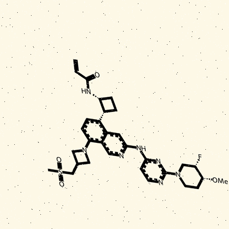 C=CC(=O)N[C@@H]1CC[C@@H]1c1ccc(N2CC(CS(C)(=O)=O)C2)c2cnc(Nc3ccnc(N4CC[C@@H](OC)[C@@H](F)C4)n3)cc12